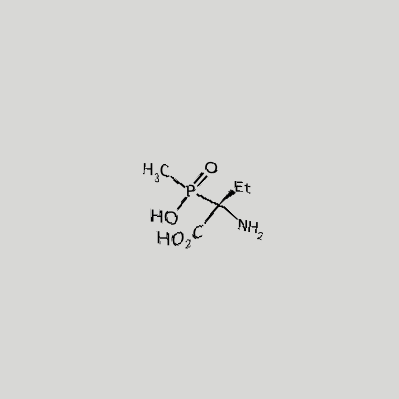 CC[C@@](N)(C(=O)O)P(C)(=O)O